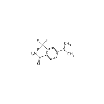 CN(C)c1ccc(C(N)=O)c(C(F)(F)F)c1